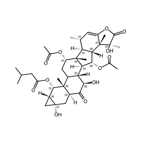 CC(=O)O[C@@H]1[C@H]2[C@H]3C(C[C@H](OC(C)=O)[C@]2(C)[C@@H]2[C@@H]1[C@]1(C)C(=C[C@H]2C)OC(=O)[C@@]1(C)O)[C@]1(C)[C@H](C[C@@]2(O)C[C@@H]2[C@@H]1OC(=O)CC(C)C)C(=O)[C@@H]3O